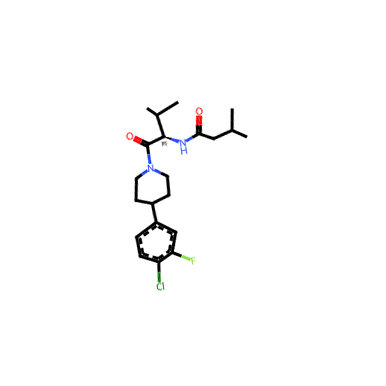 CC(C)CC(=O)N[C@@H](C(=O)N1CCC(c2ccc(Cl)c(F)c2)CC1)C(C)C